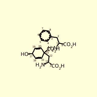 NC(Cc1ccccc1)C(=O)O.N[C@@H](CC1(C(=O)O)C=CC(O)C=C1)C(=O)O